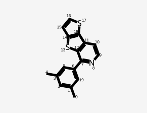 Cc1cc(C)cc(-c2nccc3c2sc2ccsc23)c1